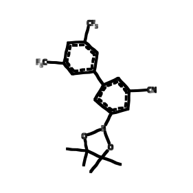 CC1(C)OB(c2cc(C#N)cc(-c3cc(C(F)(F)F)cc(C(F)(F)F)c3)c2)OC1(C)C